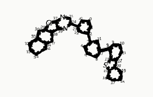 c1cc(-c2cccc(-c3cccc4c3sc3ccccc34)c2)cc(-c2cnc3oc4cc5ccccc5cc4c3n2)c1